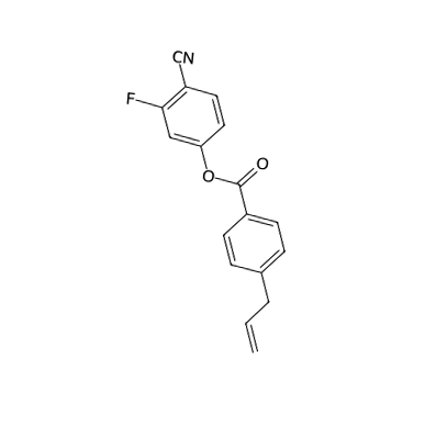 C=CCc1ccc(C(=O)Oc2ccc(C#N)c(F)c2)cc1